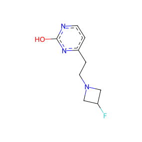 Oc1nccc(CCN2CC(F)C2)n1